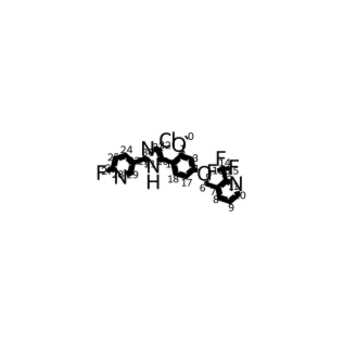 COc1cc(OCc2cccnc2C(F)(F)F)ccc1-c1[nH]c(-c2ccc(F)nc2)nc1Cl